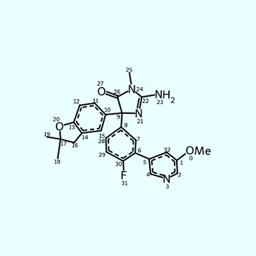 COc1cncc(-c2cc(C3(c4ccc5c(c4)CC(C)(C)O5)N=C(N)N(C)C3=O)ccc2F)c1